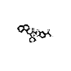 CCC(=O)c1ccc2[nH]c(NC(Cc3cccc4ccccc34)C3CCNCC3)nc2c1